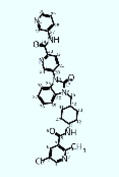 Cc1ncc(Cl)cc1C(=O)N[C@H]1CC[C@H](Cn2c(=O)n(-c3ccc(C(=O)Nc4cccnc4)nc3)c3ccccc32)CC1